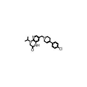 CC(C)N1CC(=O)Nc2cc(CN3CC=C(c4ccc(Cl)cc4)CC3)cnc21